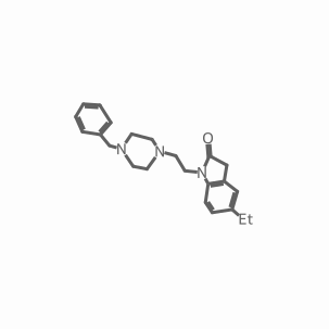 CCc1ccc2c(c1)CC(=O)N2CCN1CCN(Cc2ccccc2)CC1